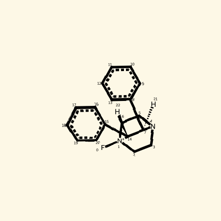 F[N+]12CCN(CC1)[C@H](c1ccccc1)[C@H]2c1ccccc1